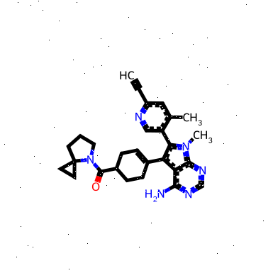 C#Cc1cc(C)c(-c2c(C3=CCC(C(=O)N4CCCC45CC5)CC3)c3c(N)ncnc3n2C)cn1